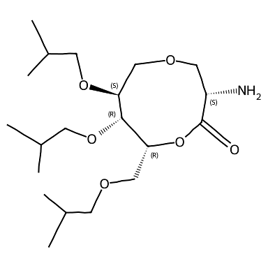 CC(C)COC[C@H]1OC(=O)[C@@H](N)COC[C@H](OCC(C)C)[C@H]1OCC(C)C